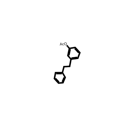 CC(=O)Oc1cccc(CCc2ccccc2)c1